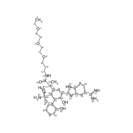 CCOCCOCCOCCCNC(=O)C(C)(C)c1cc(-c2nc3cc(C(=N)N)ccc3[nH]2)c(O)c(-c2ccccc2O)c1S(N)(=O)=O